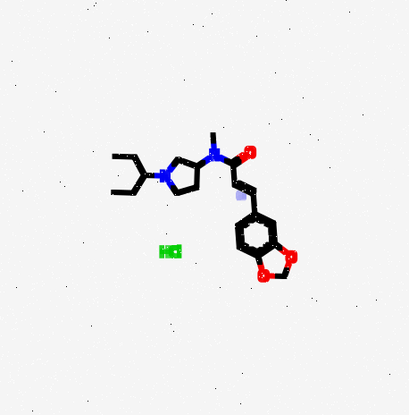 CCC(CC)N1CCC(N(C)C(=O)/C=C/c2ccc3c(c2)OCO3)C1.Cl